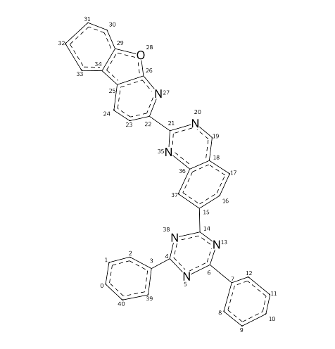 c1ccc(-c2nc(-c3ccccc3)nc(-c3ccc4cnc(-c5ccc6c(n5)oc5ccccc56)nc4c3)n2)cc1